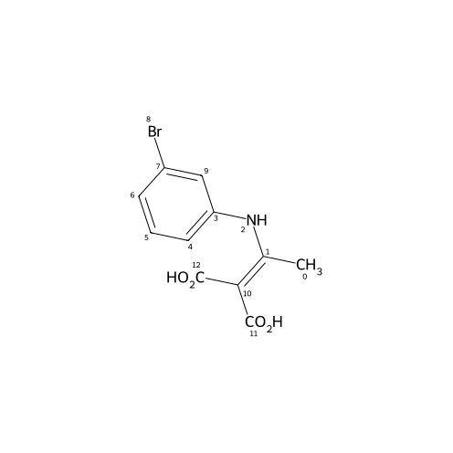 CC(Nc1cccc(Br)c1)=C(C(=O)O)C(=O)O